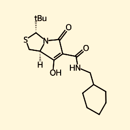 CC(C)(C)[C@H]1SC[C@@H]2C(O)=C(C(=O)NCC3CCCCC3)C(=O)N21